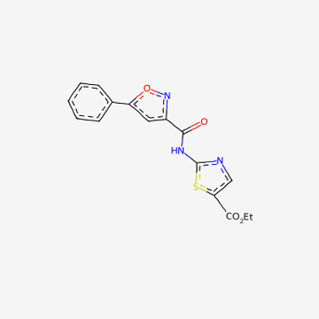 CCOC(=O)c1cnc(NC(=O)c2cc(-c3ccccc3)on2)s1